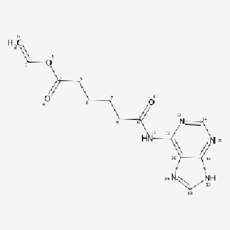 C=COC(=O)CCCCC(=O)Nc1ncnc2[nH]cnc12